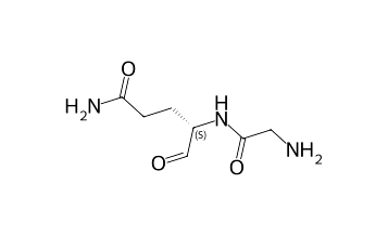 NCC(=O)N[C@H](C=O)CCC(N)=O